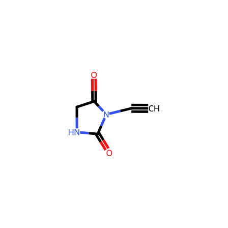 C#CN1C(=O)CNC1=O